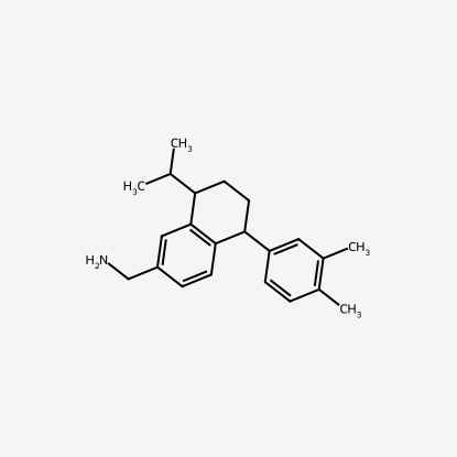 Cc1ccc(C2CCC(C(C)C)c3cc(CN)ccc32)cc1C